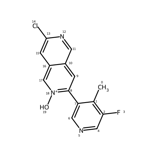 Cc1c(F)cncc1-c1cc2cnc(Cl)cc2c[n+]1O